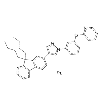 CCCCC1(CCCC)c2ccccc2-c2ccc(-c3cnn(-c4cccc(Oc5ccccn5)c4)c3)cc21.[Pt]